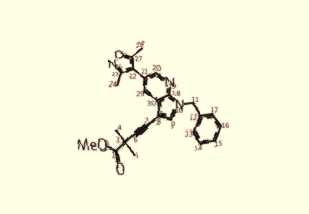 COC(=O)C(C)(C)C#Cc1cn(Cc2ccccc2)c2ncc(-c3c(C)noc3C)cc12